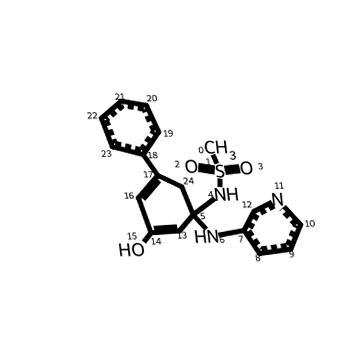 CS(=O)(=O)NC1(Nc2cccnc2)C=C(O)C=C(c2ccccc2)C1